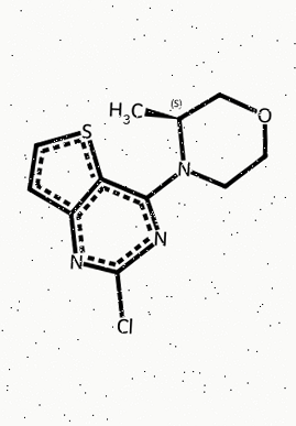 C[C@H]1COCCN1c1nc(Cl)nc2ccsc12